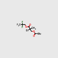 CCC(C)(COC(=O)C(C)(C)C)C(=O)OCC(F)(F)C(F)(F)F